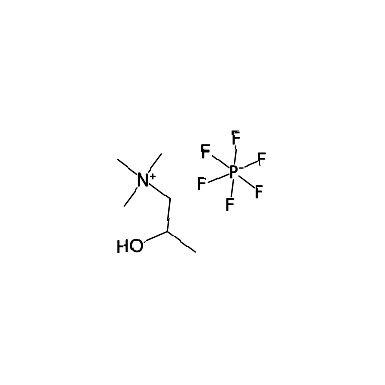 CC(O)C[N+](C)(C)C.F[P-](F)(F)(F)(F)F